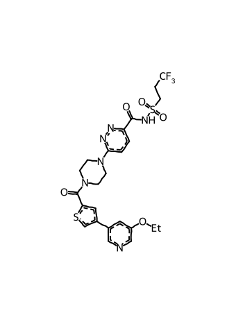 CCOc1cncc(-c2csc(C(=O)N3CCN(c4ccc(C(=O)NS(=O)(=O)CCC(F)(F)F)nn4)CC3)c2)c1